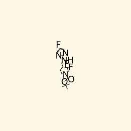 CC(C)(C)OC(=O)N1CCC(CNc2ncc(F)cn2)C(F)(F)C1